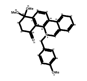 COc1ccc(CN2C=C3C=CCC=C3c3ccc4c(c32)C(=O)CCC4(OC)OC)cc1